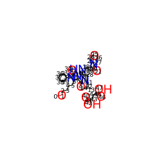 COCCCCc1c(C(=O)N(CC(C)C)[C@@H]2CNC[C@H](C(=O)N3CCOCC3)C2)nc(OC)n1-c1ccccc1.O=C(O)C=CC(=O)O